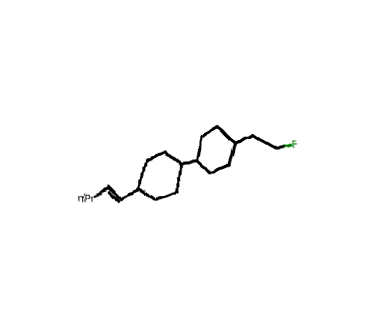 CCCC=CC1CCC(C2CCC(CCF)CC2)CC1